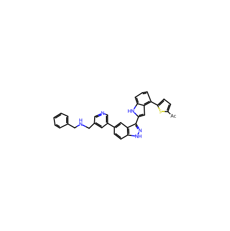 CC(=O)c1ccc(-c2cccc3[nH]c(-c4n[nH]c5ccc(-c6cncc(CNCc7ccccc7)c6)cc45)cc23)s1